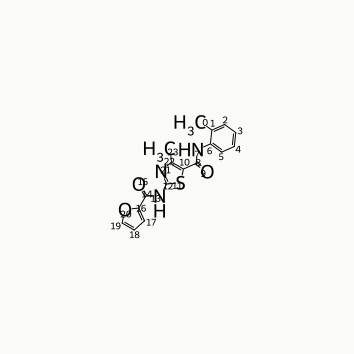 Cc1ccccc1NC(=O)c1sc(NC(=O)c2ccco2)nc1C